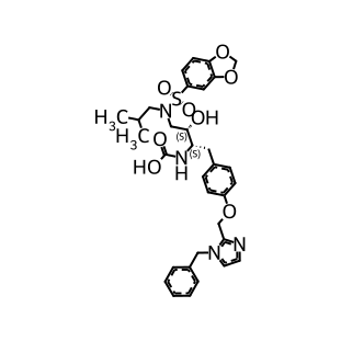 CC(C)CN(C[C@H](O)[C@H](Cc1ccc(OCc2nccn2Cc2ccccc2)cc1)NC(=O)O)S(=O)(=O)c1ccc2c(c1)OCO2